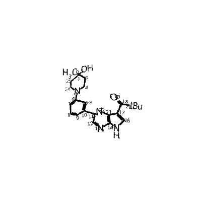 CC1(O)CCN(c2cccc(-c3cnc4[nH]cc(C(=O)C(C)(C)C)c4n3)c2)CC1